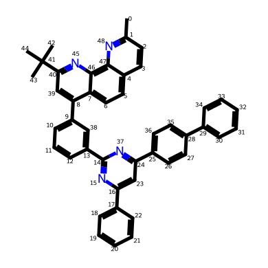 Cc1ccc2ccc3c(-c4cccc(-c5nc(-c6ccccc6)cc(-c6ccc(-c7ccccc7)cc6)n5)c4)cc(C(C)(C)C)nc3c2n1